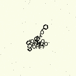 O=C(N[C@H]1C[N+]2(CCOCc3ccccc3)CCC1CC2)C(O)(c1cccs1)c1cccs1.O=C([O-])C(F)(F)F